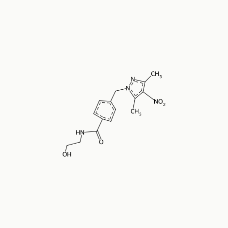 Cc1nn(Cc2ccc(C(=O)NCCO)cc2)c(C)c1[N+](=O)[O-]